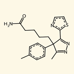 CC1=NN=C(c2nccs2)C1(CCCCC(N)=O)c1ccc(C)cc1